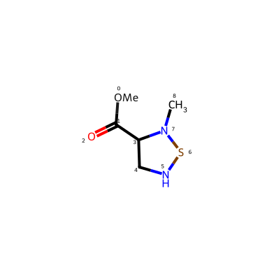 COC(=O)C1CNSN1C